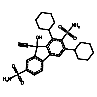 C#CC1(O)c2cc(S(N)(=O)=O)ccc2-c2cc(C3CCCCC3)c(S(N)(=O)=O)c(C3CCCCC3)c21